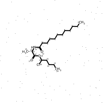 CCCCCCCCCCCC(=O)N[C@@H](C)C(=O)OC(Cl)CCCC